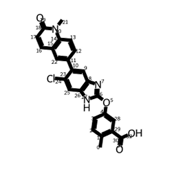 Cc1ccc(Oc2nc3cc(-c4ccc5c(ccc(=O)n5C)c4)c(Cl)cc3[nH]2)cc1C(=O)O